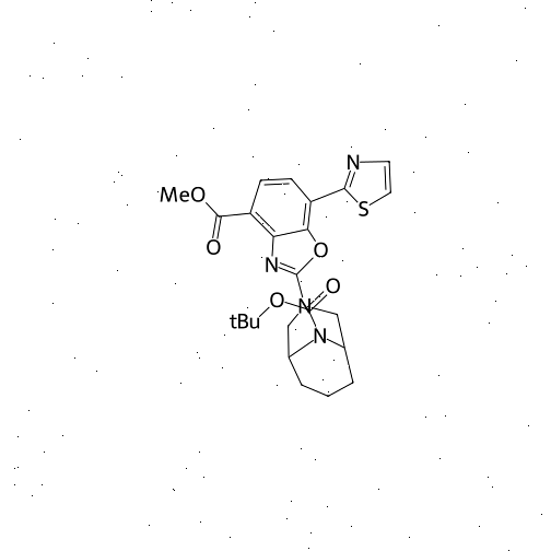 COC(=O)c1ccc(-c2nccs2)c2oc(N3CC4CCCC(C3)N4C(=O)OC(C)(C)C)nc12